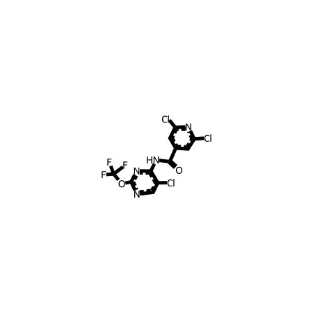 O=C(Nc1nc(OC(F)(F)F)ncc1Cl)c1cc(Cl)nc(Cl)c1